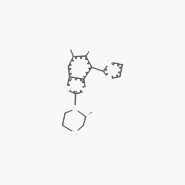 C[C@H]1CNCCN1c1nc2cc(F)c(C(F)(F)F)c(-c3nccs3)c2o1